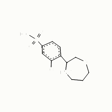 CS(=O)(=O)c1ccc(C2COCCCN2)c(Cl)c1